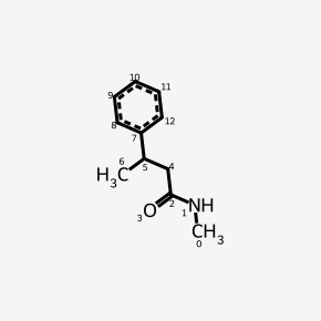 CNC(=O)CC(C)c1ccccc1